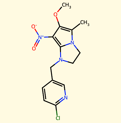 COc1c([N+](=O)[O-])c2n(c1C)CCN2Cc1ccc(Cl)nc1